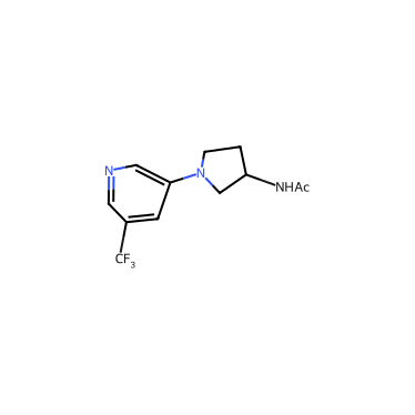 CC(=O)NC1CCN(c2cncc(C(F)(F)F)c2)C1